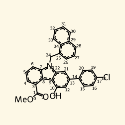 COC(=O)c1cccc2c1c1c(O)cc(-c3ccc(Cl)cc3)cc1n2Cc1cccc2ccccc12